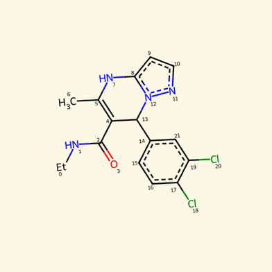 CCNC(=O)C1=C(C)Nc2ccnn2C1c1ccc(Cl)c(Cl)c1